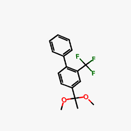 COC(C)(OC)c1ccc(-c2ccccc2)c(C(F)(F)F)c1